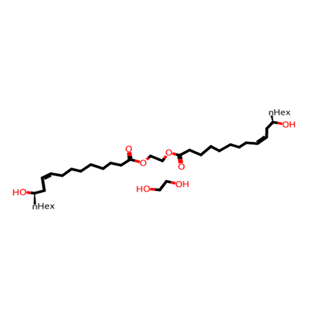 CCCCCC[C@@H](O)C/C=C\CCCCCCCC(=O)OCCOC(=O)CCCCCCC/C=C\C[C@H](O)CCCCCC.OCCO